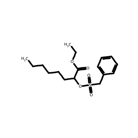 CCCCCCC(OS(=O)(=O)Cc1ccccc1)C(=O)OCC